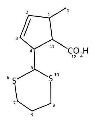 CC1C=CC(C2SCCCS2)C1C(=O)O